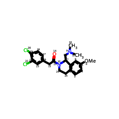 COc1ccc2c(c1)C(CN(C)C)N(C(=O)Cc1ccc(Cl)c(Cl)c1)CC2